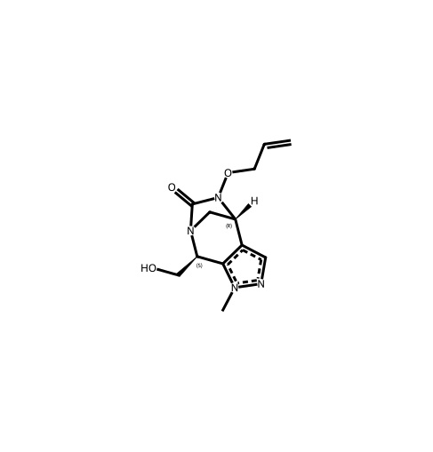 C=CCON1C(=O)N2C[C@H]1c1cnn(C)c1[C@H]2CO